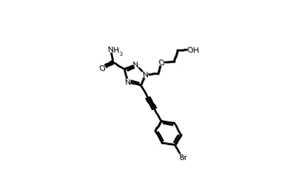 NC(=O)c1nc(C#Cc2ccc(Br)cc2)n(COCCO)n1